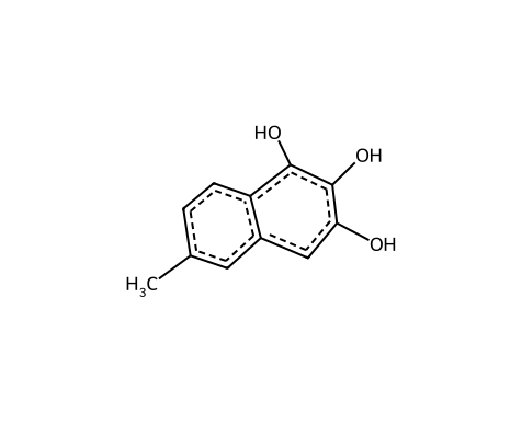 Cc1ccc2c(O)c(O)c(O)cc2c1